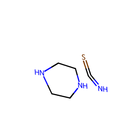 C1CNCCN1.N=C=S